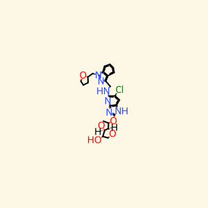 O[C@@H]1CO[C@H]2[C@@H]1OC[C@H]2Oc1nc2nc(NCc3nn(CC4CCCO4)c4ccccc34)c(Cl)cc2[nH]1